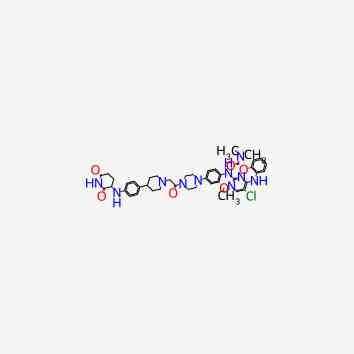 COc1cc(N2CCN(C(=O)CN3CCC(c4ccc(NC5CCC(=O)NC5=O)cc4)CC3)CC2)ccc1Nc1ncc(Cl)c(Nc2ccccc2OC(=O)N(C)C)n1